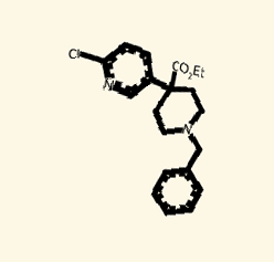 CCOC(=O)C1(c2ccc(Cl)nc2)CCN(Cc2ccccc2)CC1